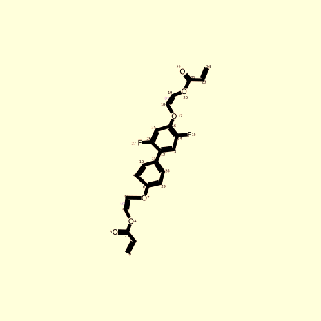 C=CC(=O)O/C=C\Oc1ccc(-c2cc(F)c(O/C=C\OC(=O)C=C)cc2F)cc1